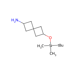 CC(C)(C)[Si](C)(C)OC1CC2(CC(N)C2)C1